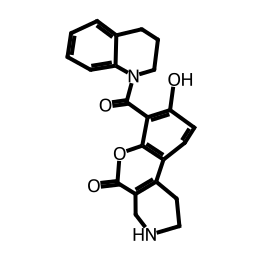 O=C(c1c(O)ccc2c3c(c(=O)oc12)CNCC3)N1CCCc2ccccc21